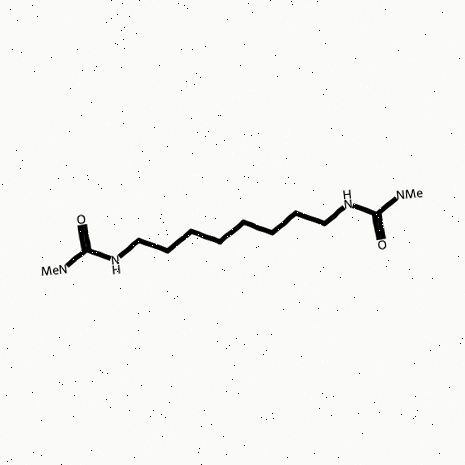 CNC(=O)NCCCCCCCCNC(=O)NC